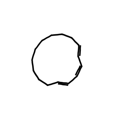 C1=C\C=C\CCCCCCCCC/C=C/1